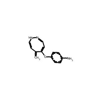 C=C1/C=C\N/N=C\C=C/1Oc1ccc(N)cc1